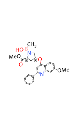 COC(=O)[C@@H]1C[C@@H](Oc2cc(-c3ccccc3)nc3cc(OC)ccc23)CN1B(C)O